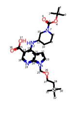 CC(C)(C)OC(=O)N1CCCC(Nc2c(C(=O)O)cnc3c2ccn3COCC[Si](C)(C)C)C1